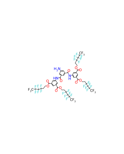 Nc1cc(C(=O)Nc2cc(C(=O)OCCC(F)(F)C(F)(F)C(F)(F)C(F)(F)F)cc(C(=O)OCCC(F)(F)C(F)(F)C(F)(F)C(F)(F)F)c2)cc(C(=O)Nc2cc(C(=O)OCCC(F)(F)C(F)(F)C(F)(F)C(F)(F)F)cc(C(=O)OCCC(F)(F)C(F)(F)C(F)(F)C(F)(F)F)c2)c1